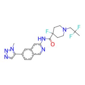 Cn1nncc1-c1ccc2cnc(NC(=O)C3(F)CCN(CC(C)(F)F)CC3)cc2c1